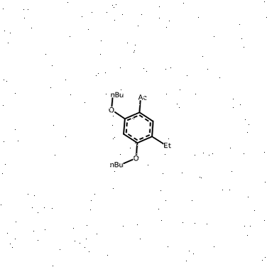 CCCCOc1cc(OCCCC)c(C(C)=O)cc1CC